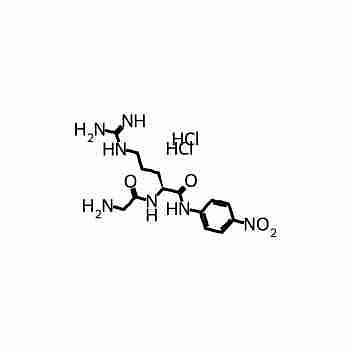 Cl.Cl.N=C(N)NCCC[C@H](NC(=O)CN)C(=O)Nc1ccc([N+](=O)[O-])cc1